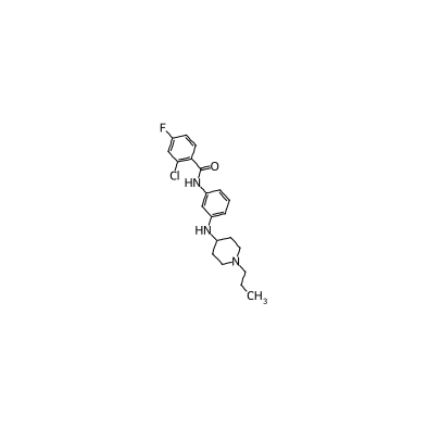 CCCN1CCC(Nc2cccc(NC(=O)c3ccc(F)cc3Cl)c2)CC1